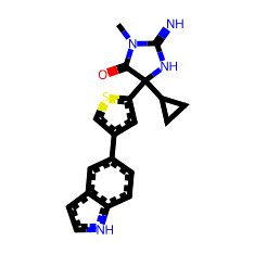 CN1C(=N)NC(c2cc(-c3ccc4[nH]ccc4c3)cs2)(C2CC2)C1=O